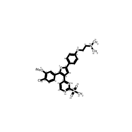 COc1cc(-c2oc(-c3ccc(OCCN(C)C)cc3)cc2-c2ccnc(S(C)(=O)=O)n2)ccc1Cl